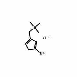 C[Si](C)(C)CC1=CC[C]([Zr+2])=C1.[Cl-].[Cl-]